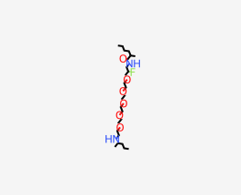 CCCCC(C)C(=O)NCC(F)COCCOCCOCCOCCOCCNC(C)CCC